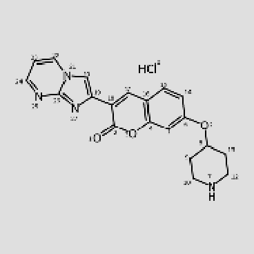 Cl.O=c1oc2cc(OC3CCNCC3)ccc2cc1-c1cn2cccnc2n1